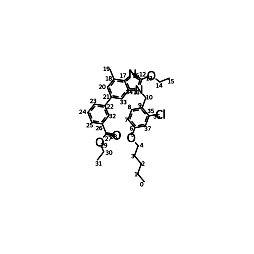 CCCCCOc1ccc(Cn2c(OCC)nc3c(C)cc(-c4cccc(C(=O)OCC)c4)cc32)c(Cl)c1